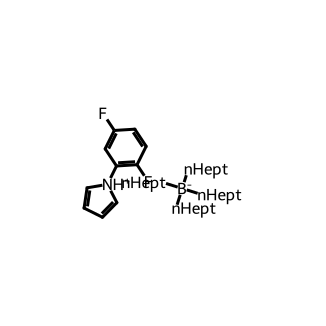 CCCCCCC[B-](CCCCCCC)(CCCCCCC)CCCCCCC.Fc1ccc(F)c([NH+]2C=CC=C2)c1